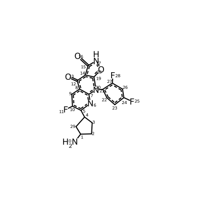 NC1CCC(c2nc3c(cc2F)c(=O)c2c(=O)[nH]oc2n3-c2ccc(F)cc2F)C1